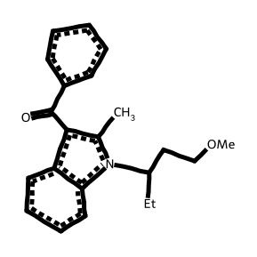 CCC(CCOC)n1c(C)c(C(=O)c2ccccc2)c2ccccc21